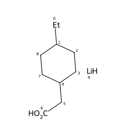 CCC1CCC(CC(=O)O)CC1.[LiH]